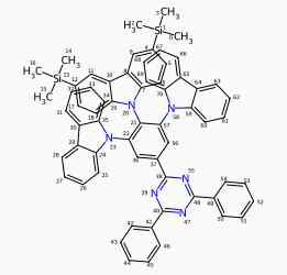 C[Si](C)(C)c1ccc2c(c1)c1cc([Si](C)(C)C)ccc1n2-c1c(-n2c3ccccc3c3ccccc32)cc(-c2nc(-c3ccccc3)nc(-c3ccccc3)n2)cc1-n1c2ccccc2c2ccccc21